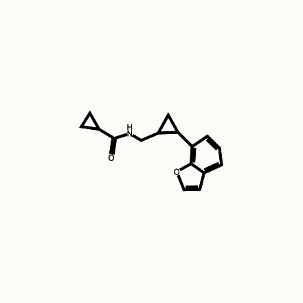 O=C(NCC1CC1c1cccc2ccoc12)C1CC1